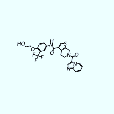 O=C(Nc1ccc(OCCO)c(C(F)(F)F)c1)c1csc2c1CCN(C(=O)c1cnc3ccccn13)C2